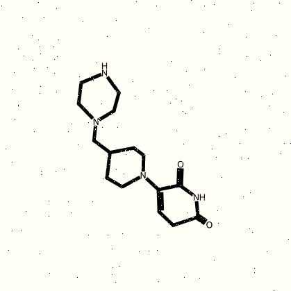 O=C1CC=C(N2CCC(CN3CCNCC3)CC2)C(=O)N1